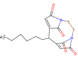 CCCCCCC1C2=CC(=O)N(SSN3C(=O)C=C1C3=O)C2=O